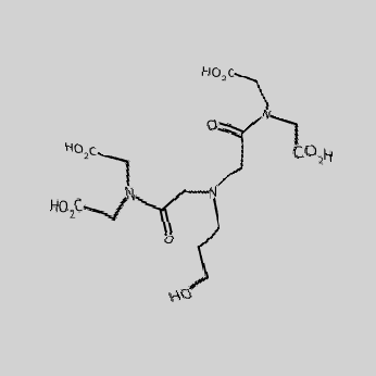 O=C(O)CN(CC(=O)O)C(=O)CN(CCCO)CC(=O)N(CC(=O)O)CC(=O)O